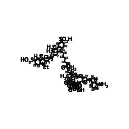 CCN1/C(=C/C=C/C=C/C2=[N+](CCCCCC(=O)NCC(C)(C)SSCO[C@@H]3C[C@H](n4cnc5c(N)ncnc54)O[C@@H]3COP(=O)(O)OP(=O)(O)OP(=O)(O)O)c3ccc(S(=O)(=O)O)cc3C2(C)C)C(C)(C)c2cc(S(=O)(=O)O)ccc21